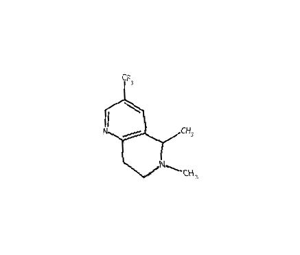 CC1c2cc(C(F)(F)F)cnc2CCN1C